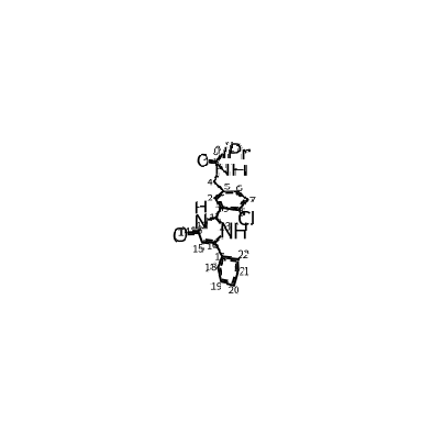 CC(C)C(=O)NCc1ccc(Cl)c(C2NC(=O)C=C(c3ccccc3)N2)c1